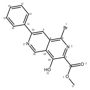 COC(=O)c1nc(Br)c2cc(-c3ccccc3)ncc2c1O